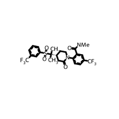 CNC(=O)c1cc(C(F)(F)F)ccc1N1CC[C@@H](C(C)(C)S(=O)(=O)c2cccc(C(F)(F)F)c2)CC1=O